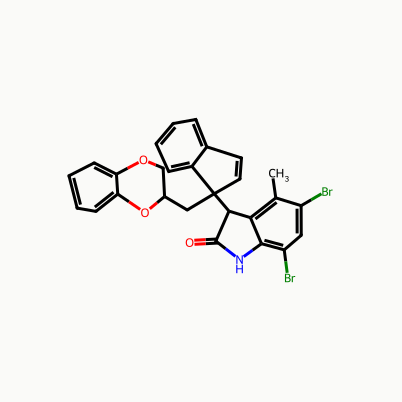 Cc1c(Br)cc(Br)c2c1C(C1(CC3COc4ccccc4O3)C=Cc3ccccc31)C(=O)N2